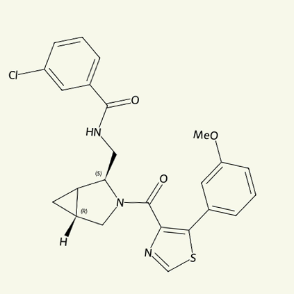 COc1cccc(-c2scnc2C(=O)N2C[C@@H]3CC3[C@H]2CNC(=O)c2cccc(Cl)c2)c1